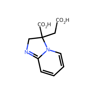 O=C(O)CC1(C(=O)O)CN=C2C=CC=CN21